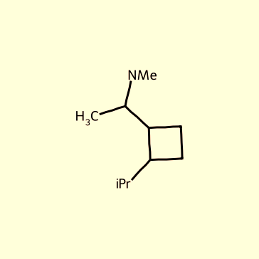 CNC(C)C1CCC1C(C)C